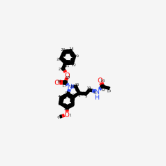 COc1ccc2c(c1)C(CCNC(C)=O)CN2C(=O)OCc1ccccc1